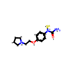 NC(=O)N(S)c1ccc(OCCN2CCCC2)cc1